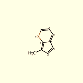 [CH2]c1ccc2cccsc1-2